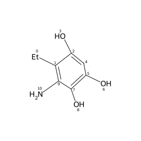 CCc1c(O)cc(O)c(O)c1N